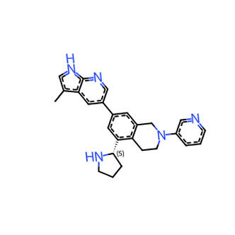 Cc1c[nH]c2ncc(-c3cc4c(c([C@@H]5CCCN5)c3)CCN(c3cccnc3)C4)cc12